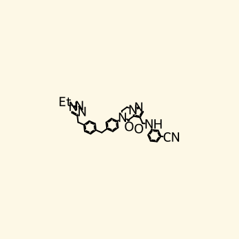 CCn1cc(Cc2ccc(Cc3ccc(N4CCn5ncc(C(=O)Nc6cccc(C#N)c6)c5C4=O)cc3)cc2)nn1